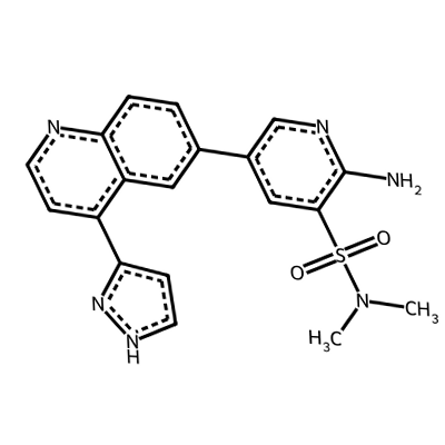 CN(C)S(=O)(=O)c1cc(-c2ccc3nccc(-c4cc[nH]n4)c3c2)cnc1N